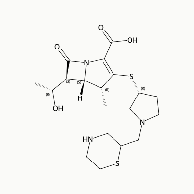 C[C@@H](O)[C@H]1C(=O)N2C(C(=O)O)=C(S[C@@H]3CCN(CC4CNCCS4)C3)[C@H](C)[C@H]12